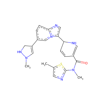 Cc1cnc(N(C)C(=O)C2=CNC(c3cnc4ccc(C5=CN(C)NC5)cn34)C=C2)s1